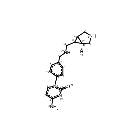 Nc1ccn(-c2ccc(CNCC3C4CNC[C@@H]34)cc2)c(=O)n1